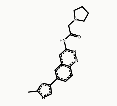 Cc1ncc(-c2ccc3nnc(NC(=O)CN4CCCC4)cc3c2)s1